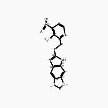 Cc1c([N+](=O)[O-])ccnc1CSc1nc2cc3c(cc2[nH]1)OCO3